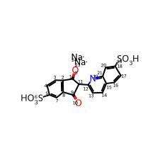 O=C1c2ccc(S(=O)(=O)O)cc2C(=O)C1c1ccc2ccc(S(=O)(=O)O)cc2n1.[Na].[Na]